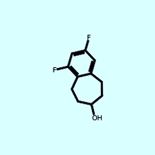 OC1CCc2cc(F)cc(F)c2CC1